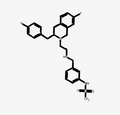 CS(=O)(=O)Nc1cccc(CNCCN2Cc3cc(F)ccc3CC2Cc2ccc(F)cc2)c1